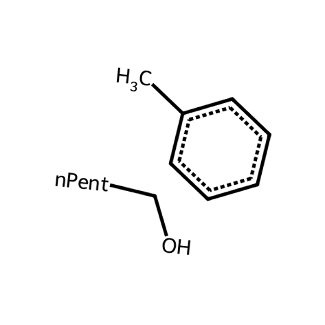 CCCCCCO.Cc1ccccc1